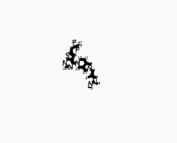 C=NN(C)/C=C(\C)CN1CC2CCN(c3ncnc4sc(CC(F)(F)F)cc34)CC2C1